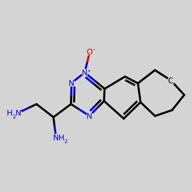 NCC(N)c1nc2cc3c(cc2[n+]([O-])n1)CCCCC3